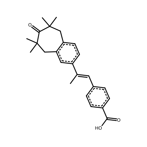 CC(=Cc1ccc(C(=O)O)cc1)c1ccc2c(c1)CC(C)(C)C(=O)C(C)(C)C2